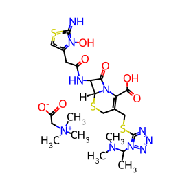 CC(N(C)C)n1nnnc1SCC1=C(C(=O)O)N2C(=O)C(NC(=O)Cc3csc(=N)n3O)[C@H]2SC1.C[N+](C)(C)CC(=O)[O-]